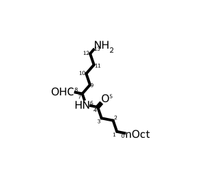 CCCCCCCCCCCC(=O)NC(C=O)CCCCN